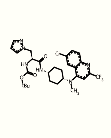 CN(c1cc(C(F)(F)F)nc2ccc(Cl)cc12)[C@H]1CC[C@@H](NC(=O)[C@H](Cn2cccn2)NC(=O)OC(C)(C)C)CC1